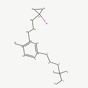 CCC(C)(C)CCCc1ccc(C)c(CCCC2(I)CC2)c1